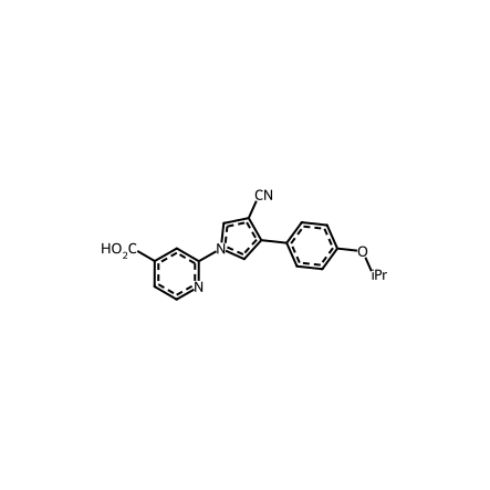 CC(C)Oc1ccc(-c2cn(-c3cc(C(=O)O)ccn3)cc2C#N)cc1